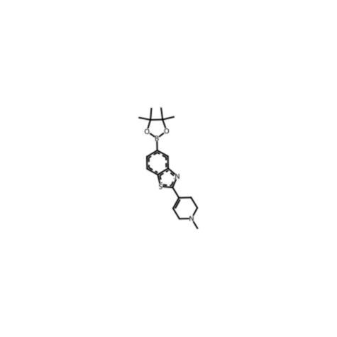 CN1CC=C(c2nc3cc(B4OC(C)(C)C(C)(C)O4)ccc3s2)CC1